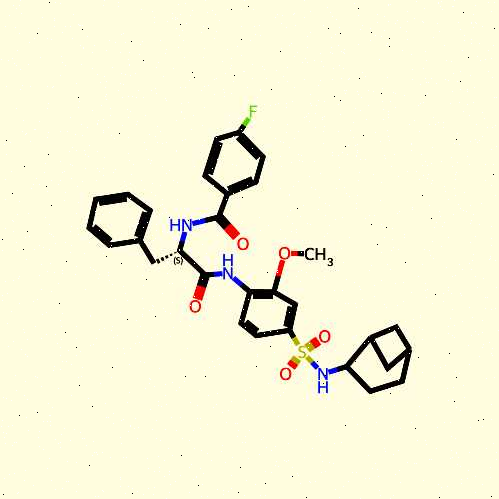 COc1cc(S(=O)(=O)NC2CCC3CC2C3)ccc1NC(=O)[C@H](Cc1ccccc1)NC(=O)c1ccc(F)cc1